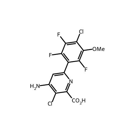 COc1c(F)c(-c2cc(N)c(Cl)c(C(=O)O)n2)c(F)c(F)c1Cl